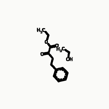 CCO.CCOC(=O)C(=O)CCc1ccccc1